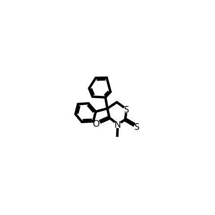 CN1C(=O)C(c2ccccc2)(c2ccccc2)CSC1=S